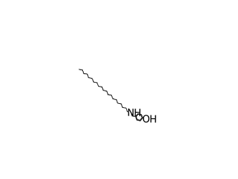 CCCCCCCCCCCCCCCCCCCCCNCc1ccc(O)cc1